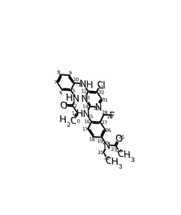 C=CC(=O)Nc1ccccc1Nc1nc(Nc2ccc(N(CC)C(C)=O)cc2CF)ncc1Cl